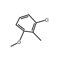 COc1cc[c]c(Cl)c1C